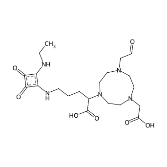 CCNc1c(NCCCC(C(=O)O)N2CCN(CC=O)CCN(CC(=O)O)CC2)c(=O)c1=O